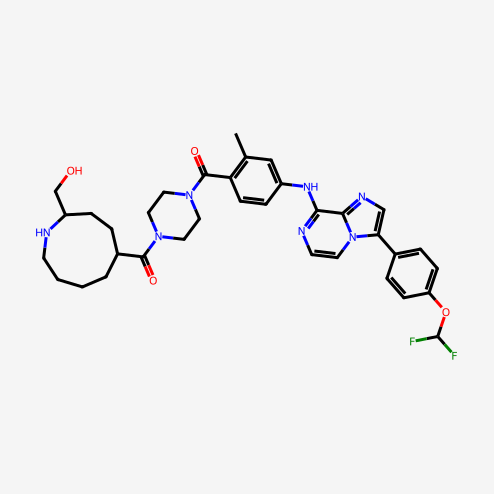 Cc1cc(Nc2nccn3c(-c4ccc(OC(F)F)cc4)cnc23)ccc1C(=O)N1CCN(C(=O)C2CCCCNC(CO)CC2)CC1